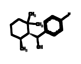 C[C@H]1CCCC(C)(C)[C@@H]1C(O)c1ccc(F)cc1